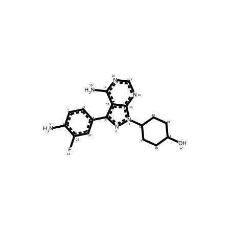 Nc1ccc(-c2nn(C3CCC(O)CC3)c3ncnc(N)c23)cc1F